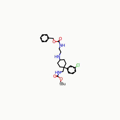 CC(C)(C)OC(=O)NCC1(c2cccc(Cl)c2)CCC(NCCNC(=O)OCc2ccccc2)CC1